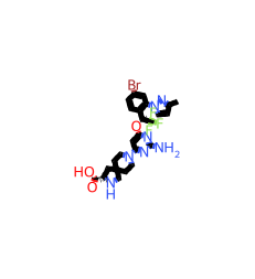 Cc1ccn(-c2cc(Br)ccc2[C@@H](Oc2cc(N3CCC4(CC3)CN[C@H](C(=O)O)C4)nc(N)n2)C(F)(F)F)n1